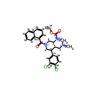 CN(C)CCC(CN(CCNC(=O)OC(C)(C)C)C(=O)c1cccc2ccccc12)c1ccc(Cl)c(Cl)c1